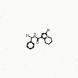 CC[C@@H](NC(=O)c1cc(Br)n2c1CCCC2)c1ccccc1